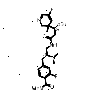 CNC(=O)c1ccc(C[C@@H](CNC(=O)C[C@H](C(C)(C)C)C2(C)C=C(F)C=NC2)N(C)C)cc1F